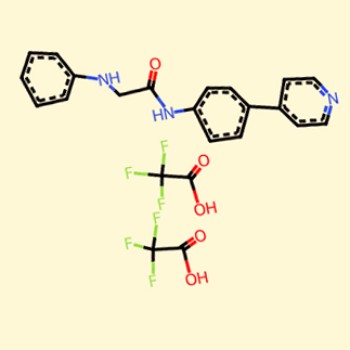 O=C(CNc1ccccc1)Nc1ccc(-c2ccncc2)cc1.O=C(O)C(F)(F)F.O=C(O)C(F)(F)F